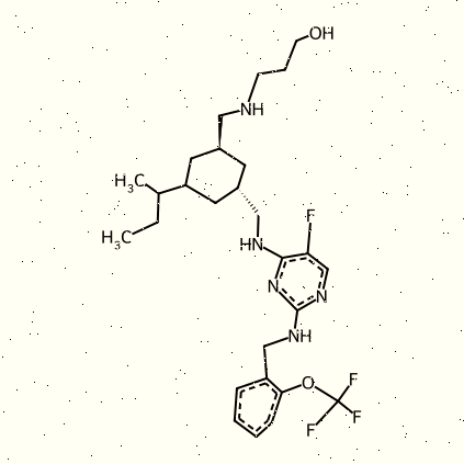 CCC(C)C1C[C@@H](CNCCCO)C[C@H](CNc2nc(NCc3ccccc3OC(F)(F)F)ncc2F)C1